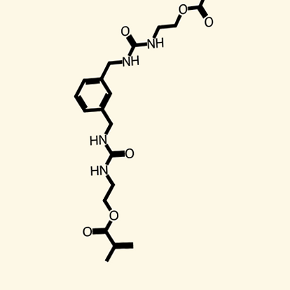 C=C(C)C(=O)OCCNC(=O)NCc1cccc(CNC(=O)NCCOC(=O)C(=C)C)c1